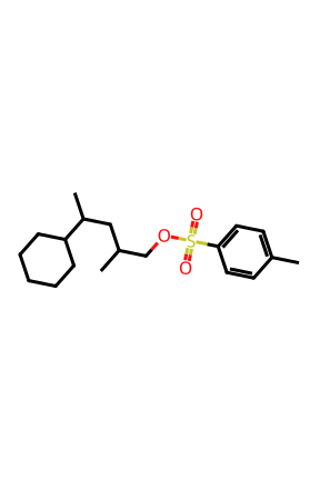 Cc1ccc(S(=O)(=O)OCC(C)CC(C)C2CCCCC2)cc1